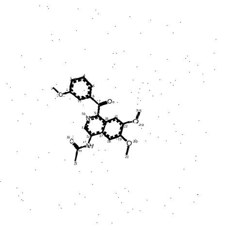 COc1cccc(C(=O)c2ncc(NC(C)=O)c3cc(OC)c(OC)cc23)c1